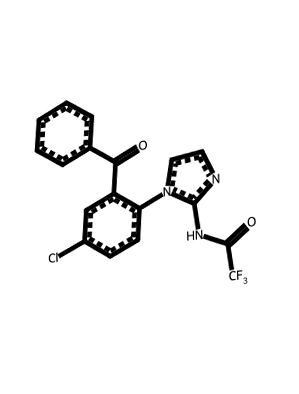 O=C(c1ccccc1)c1cc(Cl)ccc1-n1ccnc1NC(=O)C(F)(F)F